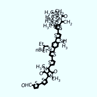 C=C(c1ccc(-c2cc3c(s2)-c2cc4c(cc2[SiH]3C)-c2sc(-c3ccc(C5=C6C(=O)N(C)C(c7ccc(-c8ccc(C=O)s8)s7)=C6C(=O)N5C)s3)cc2[Si]4(CC)CC(CC)CCCC)s1)N(C(=O)CC)[Si](C)(O[Si](C)(C)C)O[Si](C)(C)C